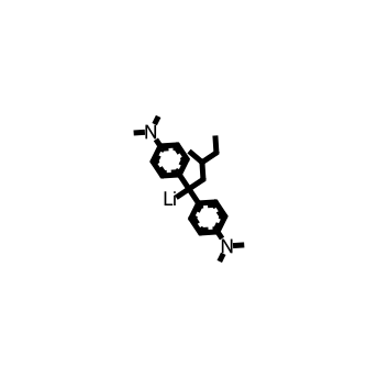 [Li][C](CC(C)CC)(c1ccc(N(C)C)cc1)c1ccc(N(C)C)cc1